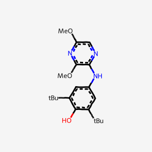 COc1cnc(Nc2cc(C(C)(C)C)c(O)c(C(C)(C)C)c2)c(OC)n1